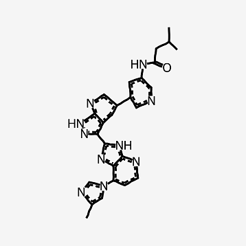 Cc1cn(-c2ccnc3[nH]c(-c4n[nH]c5ncc(-c6cncc(NC(=O)CC(C)C)c6)cc45)nc23)cn1